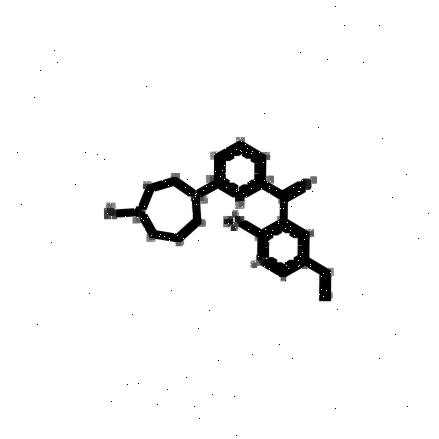 C=Cc1cnc(N)c(C(=O)c2cccc(N3CCCN(C(C)C)CC3)n2)c1